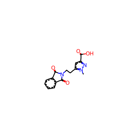 Cn1nc(C(=O)O)cc1CCN1C(=O)c2ccccc2C1=O